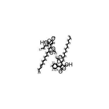 CCCCCCCCCCCCC(OC(C)=O)C1=C(c2ccccc2)C(=O)OC1O.CCCCCCCCCCCCC(OC(C)=O)C1=CC(=O)OC1(O)CCCC